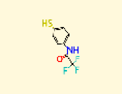 O=C(Nc1ccc(S)cc1)C(F)(F)F